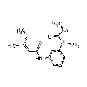 CNC(=O)N(C)c1cccc(NC(=O)/C=C(/C)OC)c1